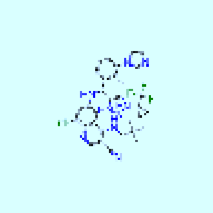 Cc1c([C@H](Nc2cc(Cl)c3ncc(C#N)c(NCC(C)(C)C)c3c2)C2=CN(C3(C(F)(F)F)CC3)NN2)cccc1-n1ccnc1